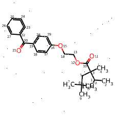 CC(C)C(C)(CC(C)(C)C)C(=O)OCCOc1ccc(C(=O)C2=C=C=CC=C2)cc1